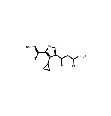 CCC(CC(C(=O)O)C(=O)O)c1noc(C(Cl)=NO)c1C1CC1